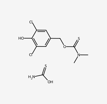 CN(C)C(=S)OCc1cc(Cl)c(O)c(Cl)c1.NC(O)=S